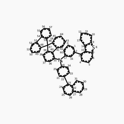 c1cc(-c2cccc3sc4ccccc4c23)cc(N(c2ccc(-c3cccc4ccccc34)cc2)c2cccc3c2-c2ccccc2C32c3ccccc3-c3ccccc32)c1